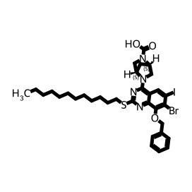 CCCCCCCCCCCCSc1nc(N2C[C@@H]3C[C@H]2CN3C(=O)O)c2cc(I)c(Br)c(OCc3ccccc3)c2n1